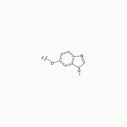 C[SH]1C=Nc2ccc(OC(F)(F)F)cc21